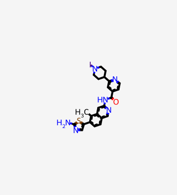 Cc1c(-c2cnc(N)s2)ccc2cnc(NC(=O)c3ccnc(C4CCN(I)CC4)c3)cc12